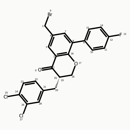 O=C1c2cc(CBr)cc(-c3ccc(F)cc3)c2OC[C@@H]1Cc1ccc(Cl)c(Cl)c1